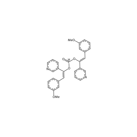 COc1cccc(C=C(O[PH](=O)OC(=Cc2cccc(OC)c2)c2cccnc2)c2cccnc2)c1